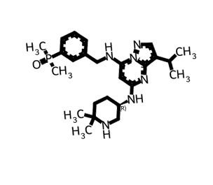 CC(C)c1cnn2c(NCc3cccc(P(C)(C)=O)c3)cc(N[C@@H]3CCC(C)(C)NC3)nc12